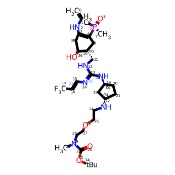 C=CNC1=C(P(C)(C)=O)C[C@H](CN/C(=N\C=C\C(F)(F)F)N[C@H]2CC[C@H](NCCOCCN(C)C(=O)OC(C)(C)C)C2)C(O)C1